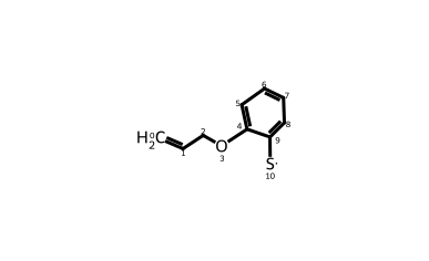 C=CCOc1ccccc1[S]